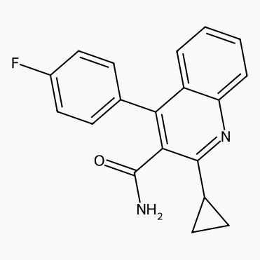 NC(=O)c1c(C2CC2)nc2ccccc2c1-c1ccc(F)cc1